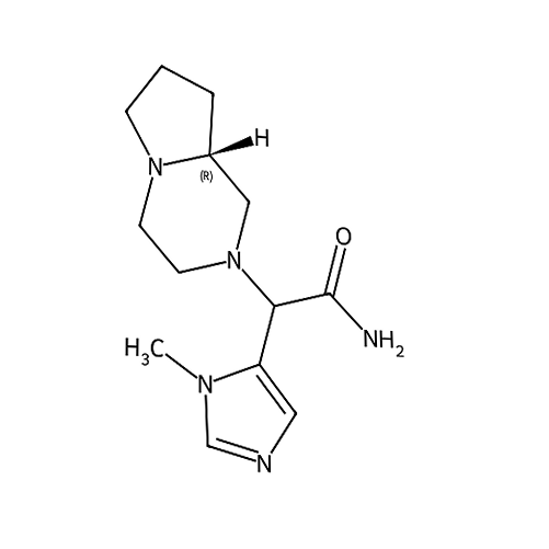 Cn1cncc1C(C(N)=O)N1CCN2CCC[C@@H]2C1